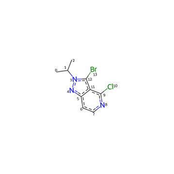 CC(C)n1nc2ccnc(Cl)c2c1Br